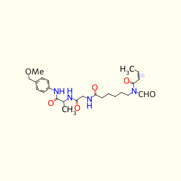 C/C=C\C(=O)N(C=O)CCCCCC(=O)NCC(=O)NC(C)C(=O)Nc1ccc(COC)cc1